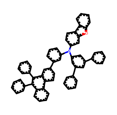 c1ccc(-c2cc(-c3ccccc3)cc(N(c3cccc(-c4ccc5c(c4)c(-c4ccccc4)c(-c4ccccc4)c4ccccc45)c3)c3ccc4c(c3)oc3ccccc34)c2)cc1